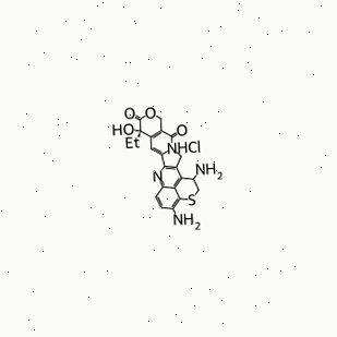 CC[C@@]1(O)C(=O)OCc2c1cc1n(c2=O)Cc2c-1nc1ccc(N)c3c1c2C(N)CS3.Cl